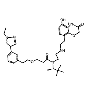 CCN1CC(c2cccc(CCOCCC(=O)N(CCNCCc3ccc(O)c4c3OCC(=O)N4)[C@H](C)C(C)(C)C)c2)C=N1